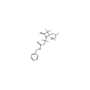 CC(C)C[C@@]1([SiH3])N(C(C)(C)CC(=O)OCc2ccccc2)C(=O)C1(C)C